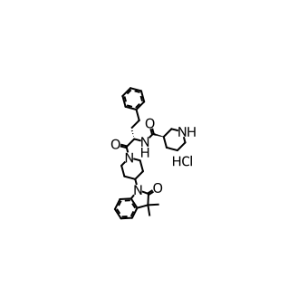 CC1(C)C(=O)N(C2CCN(C(=O)[C@H](CCc3ccccc3)NC(=O)[C@@H]3CCCNC3)CC2)c2ccccc21.Cl